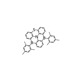 Cc1cc(C)c(B2c3cccc4c3N3c5c(cccc5B(c5c(C)cc(C)cc5C)c5cccc2c53)S4)c(C)c1